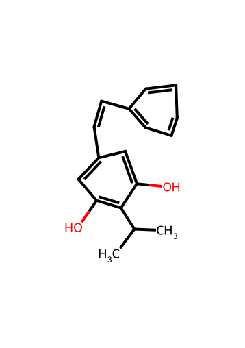 CC(C)c1c(O)cc(/C=C\c2ccccc2)cc1O